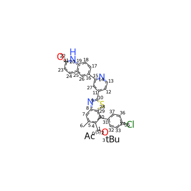 CC(=O)[C@@H](OC(C)(C)C)c1c(C)cc2nc(-c3ccnc(-c4ccc5[nH]c(=O)ccc5c4)c3)sc2c1-c1ccc(Cl)cc1